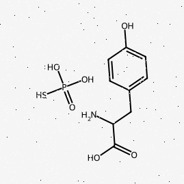 NC(Cc1ccc(O)cc1)C(=O)O.O=P(O)(O)S